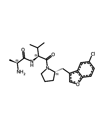 CC(C)[C@H](NC(=O)[C@H](C)N)C(=O)N1CCC[C@H]1Cc1coc2ccc(Cl)cc12